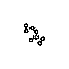 c1ccc(-c2cc(-n3c4ccccc4c4ccccc43)nc(-c3ccc4oc5ccc(-n6c7ccccc7c7ccccc76)cc5c4c3)n2)cc1